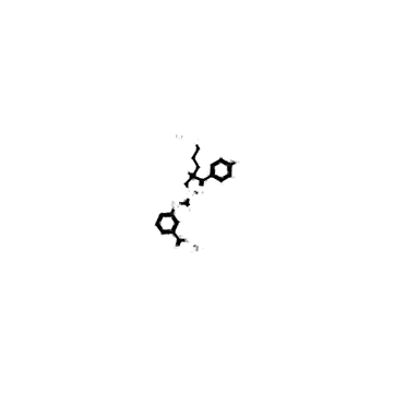 CSCCCC1(C)CN(C(=O)Nc2cccc(C(=O)OC(C)C)c2)N=C1c1ccc(Cl)cc1